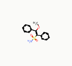 COC(=C(c1ccccc1)S(N)(=O)=O)c1ccccc1